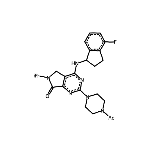 CC(=O)N1CCN(c2nc(NC3CCc4c(F)cccc43)c3c(n2)C(=O)N(C(C)C)C3)CC1